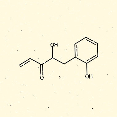 C=CC(=O)C(O)Cc1c[c]ccc1O